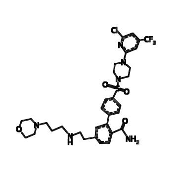 NC(=O)c1ccc(CCNCCCN2CCOCC2)cc1-c1ccc(S(=O)(=O)N2CCN(c3cc(C(F)(F)F)cc(Cl)n3)CC2)cc1